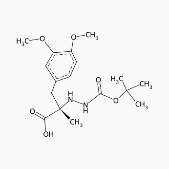 COc1ccc(C[C@](C)(NNC(=O)OC(C)(C)C)C(=O)O)cc1OC